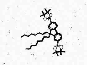 CCCCCCCCC1(CCCCCCCC)c2cc(N3OC(C)(C)C(C)(C)O3)ccc2-c2ccc(N3OC(C)(C)C(C)(C)O3)cc21